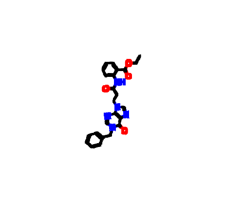 CCOC(=O)c1ccccc1NC(=O)CCn1cnc2c(=O)n(Cc3ccccc3)cnc21